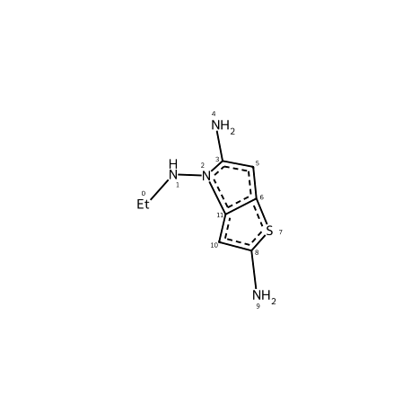 CCNn1c(N)cc2sc(N)cc21